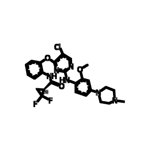 COc1cc(N2CCN(C)CC2)ccc1Nc1ncc(Cl)c(Oc2ccccc2NC(=O)[C@@H]2CC2(F)F)n1